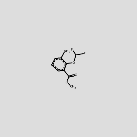 COC(=O)c1cccc(N)c1OC(F)F